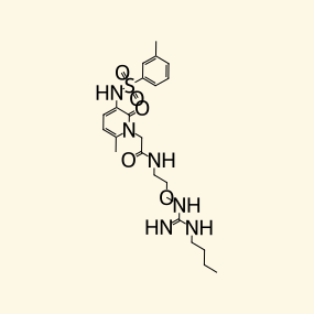 CCCCNC(=N)NOCCNC(=O)Cn1c(C)ccc(NS(=O)(=O)c2cccc(C)c2)c1=O